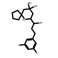 CCCCC1(O)CC(C(O)CCc2cc(F)cc(F)c2)NC2(CCCC2)C1